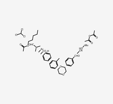 C1COCCO1.CC#N.CC(=O)O.CC(=O)OC(C)=O.CC(C)=O.CCCCCOC(C)=O.CCCCO.CN(C)C=O.Cc1ccccc1.ClC(Cl)Cl.O=Cc1ccccc1.c1ccccc1